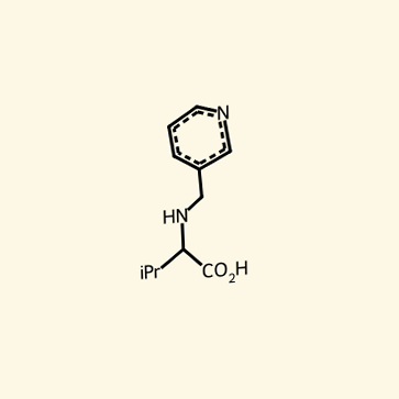 CC(C)C(NCc1cccnc1)C(=O)O